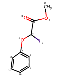 COC(=O)C(I)Oc1ccccc1